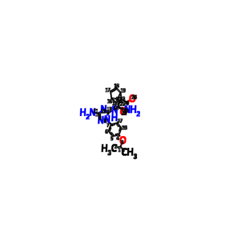 CC(C)Oc1ccc(-n2nc(N)nc2NC2C3C=CC(C3=C=O)C2C(N)=O)cc1